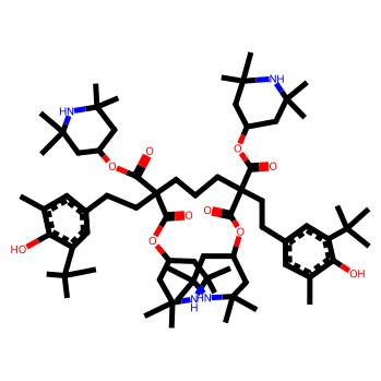 Cc1cc(CCC(CCCC(CCc2cc(C)c(O)c(C(C)(C)C)c2)(C(=O)OC2CC(C)(C)NC(C)(C)C2)C(=O)OC2CC(C)(C)NC(C)(C)C2)(C(=O)OC2CC(C)(C)NC(C)(C)C2)C(=O)OC2CC(C)(C)NC(C)(C)C2)cc(C(C)(C)C)c1O